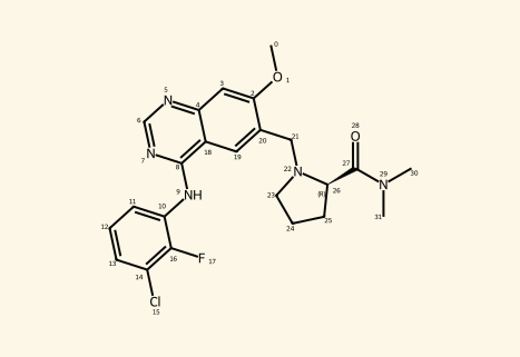 COc1cc2ncnc(Nc3cccc(Cl)c3F)c2cc1CN1CCC[C@@H]1C(=O)N(C)C